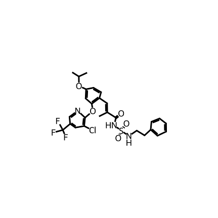 C/C(=C\c1ccc(OC(C)C)cc1Oc1ncc(C(F)(F)F)cc1Cl)C(=O)NS(=O)(=O)NCCc1ccccc1